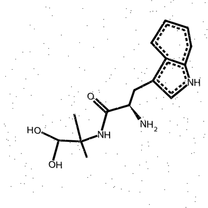 CC(C)(NC(=O)[C@H](N)Cc1c[nH]c2ccccc12)C(O)O